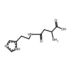 NC(CC(=O)NCCc1cnc[nH]1)C(=O)O